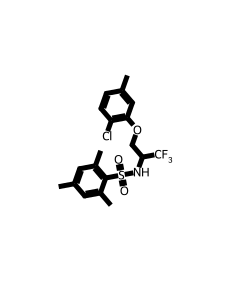 Cc1cc(C)c(S(=O)(=O)NC(COc2cc(C)ccc2Cl)C(F)(F)F)c(C)c1